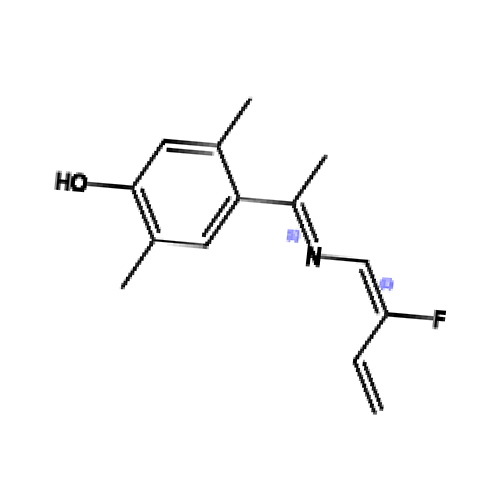 C=C/C(F)=C\N=C(/C)c1cc(C)c(O)cc1C